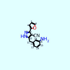 N#Cc1c(-c2ccco2)n[nH]c1Cc1cccc(N)c1